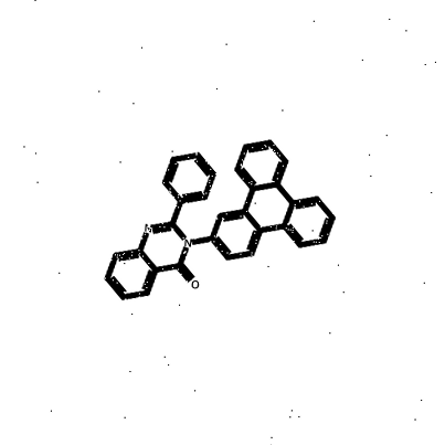 O=c1c2ccccc2nc(-c2ccccc2)n1-c1ccc2c3ccccc3c3ccccc3c2c1